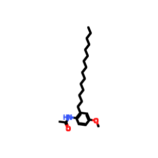 CCCCCCCCCCCCCCCc1cc(OC)ccc1NC(C)=O